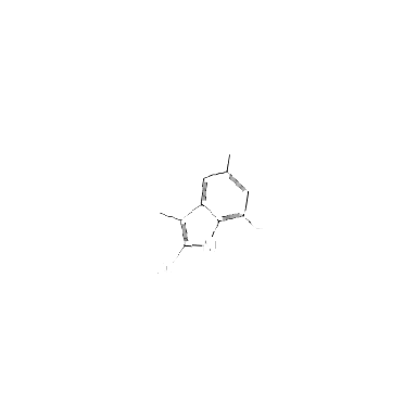 Cc1c(C(C)(C)C)[nH]c2c(F)cc(F)cc12